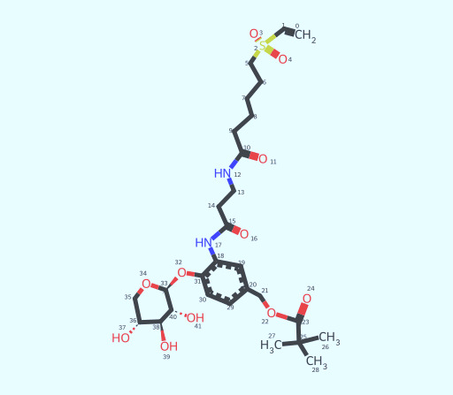 C=CS(=O)(=O)CCCCCC(=O)NCCC(=O)Nc1cc(COC(=O)C(C)(C)C)ccc1O[C@@H]1OC[C@@H](O)[C@H](O)[C@H]1O